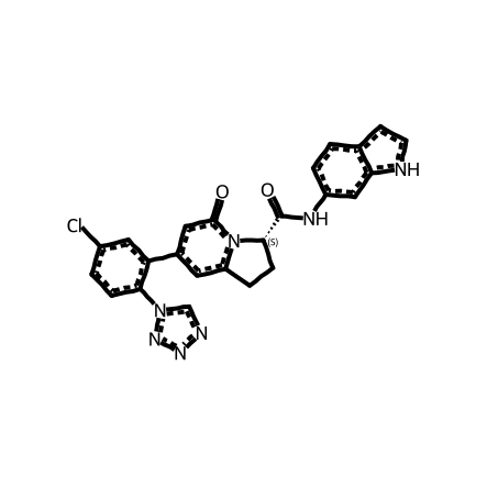 O=C(Nc1ccc2cc[nH]c2c1)[C@@H]1CCc2cc(-c3cc(Cl)ccc3-n3cnnn3)cc(=O)n21